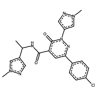 CC(NC(=O)c1cc(-c2ccc(Cl)cc2)nn(-c2cnn(C)c2)c1=O)c1cnn(C)c1